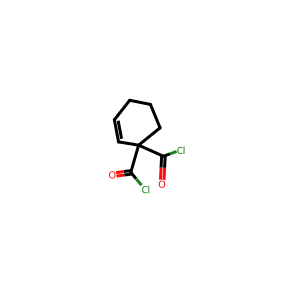 O=C(Cl)C1(C(=O)Cl)C=CCCC1